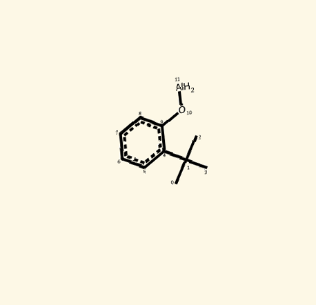 CC(C)(C)c1ccccc1[O][AlH2]